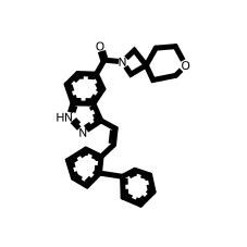 O=C(c1ccc2[nH]nc(/C=C\c3ccccc3-c3ccccc3)c2c1)N1CC2(CCOCC2)C1